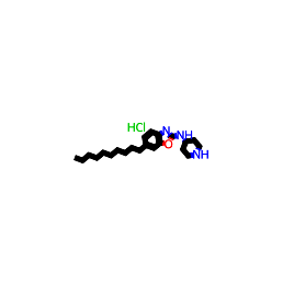 CCCCCCCCCCc1ccc2nc(NC3CCNCC3)oc2c1.Cl